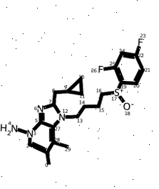 CC1=CN(N)C2=NC(CC3CC3)N(CCCC[S+]([O-])c3ccc(F)cc3F)C2=C1C